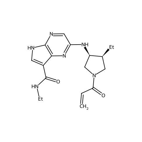 C=CC(=O)N1C[C@H](CC)[C@H](Nc2cnc3[nH]cc(C(=O)NCC)c3n2)C1